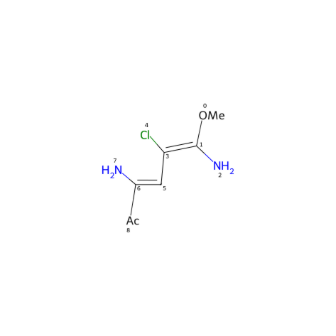 CO/C(N)=C(Cl)/C=C(\N)C(C)=O